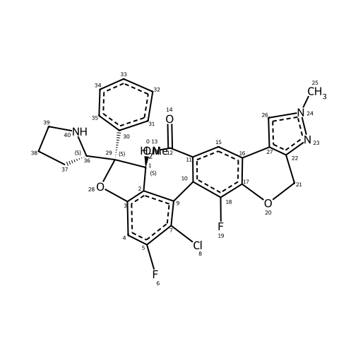 CO[C@H]1c2c(cc(F)c(Cl)c2-c2c(C(N)=O)cc3c(c2F)OCc2nn(C)cc2-3)O[C@@]1(c1ccccc1)[C@@H]1CCCN1